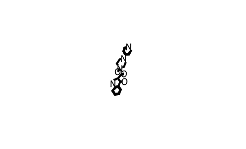 O=C(ON1CCN(c2ccncc2)CC1)C1C=Nc2ccccc2C1=O